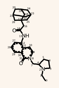 CCN1CCCC1Cn1ccc2c(NC(=O)CC34CC5CC(CC(C5)C3)C4)cccc2c1=O